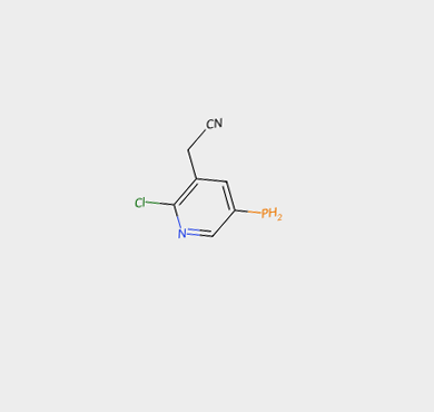 N#CCc1cc(P)cnc1Cl